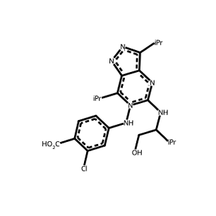 CC(C)c1nnc2c(C(C)C)n(Nc3ccc(C(=O)O)c(Cl)c3)c(NC(CO)C(C)C)nc1-2